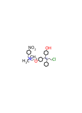 C[N+](C)(CCOc1ccc(/C(=C(/CCCl)c2ccccc2)c2ccc(O)cc2)cc1)Cc1ccc([N+](=O)[O-])cc1